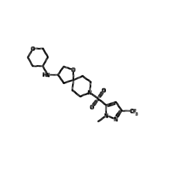 Cn1nc(C(F)(F)F)cc1S(=O)(=O)N1CCC2(CC1)CC(NC1CCOCC1)CO2